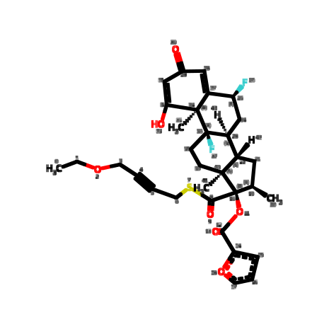 CCOCC#CCSC(=O)[C@@]1(OC(=O)c2ccco2)[C@H](C)C[C@H]2[C@@H]3C[C@H](F)C4=CC(=O)C=C(O)[C@]4(C)[C@@]3(F)CC[C@@]21C